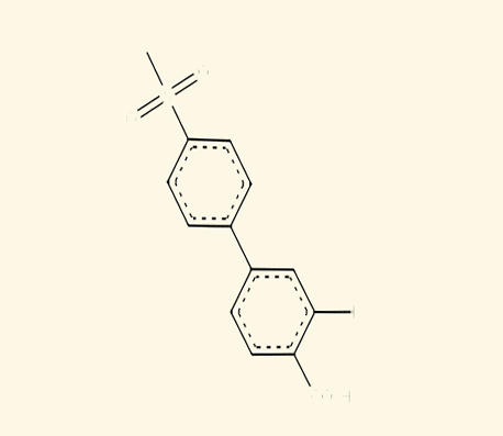 CS(=O)(=O)c1ccc(-c2ccc(C(=O)O)c(F)c2)cc1